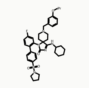 CC(C)Oc1cccc(CN2CCC3(CC2)C(NC2CCCCC2)=NC(=O)N3c2cc(F)ccc2-c2ccc(S(=O)(=O)N3CCCC3)cc2)c1